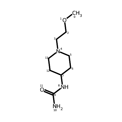 COCCN1CCC(NC(N)=O)CC1